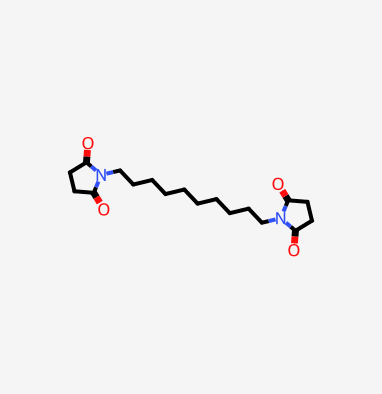 O=C1CCC(=O)N1CCCCCCCCCCN1C(=O)CCC1=O